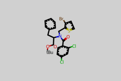 CC(C)(C)OC(=O)C(Cc1ccccc1)N(Cc1sccc1Br)C(=O)c1ccc(Cl)cc1Cl